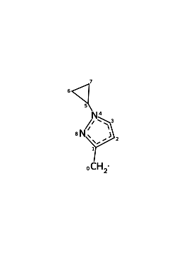 [CH2]c1ccn(C2CC2)n1